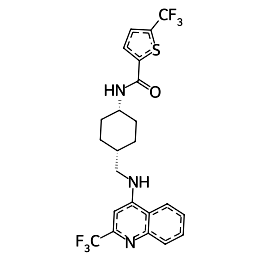 O=C(N[C@H]1CC[C@@H](CNc2cc(C(F)(F)F)nc3ccccc23)CC1)c1ccc(C(F)(F)F)s1